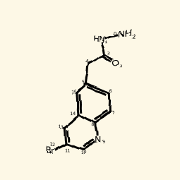 NNC(=O)Cc1ccc2ncc(Br)cc2c1